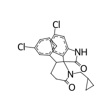 O=C1CCC(c2cccc(Cl)c2)C2(C(=O)Nc3cc(Cl)ccc32)N1CC1CC1